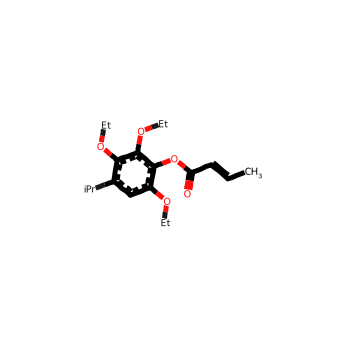 CC=CC(=O)Oc1c(OCC)cc(C(C)C)c(OCC)c1OCC